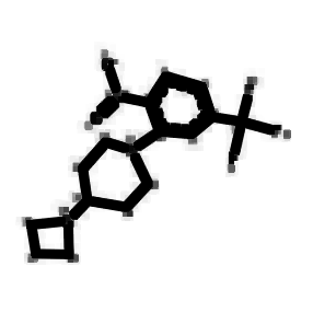 O=[N+]([O-])c1ccc(C(F)(F)F)cc1N1CCC(N2CCC2)CC1